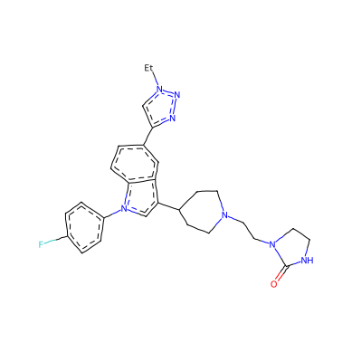 CCn1cc(-c2ccc3c(c2)c(C2CCN(CCN4CCNC4=O)CC2)cn3-c2ccc(F)cc2)nn1